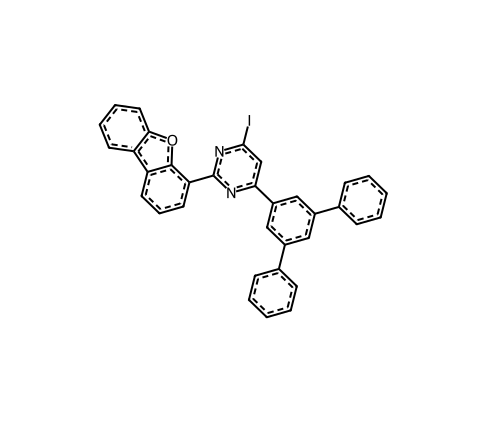 Ic1cc(-c2cc(-c3ccccc3)cc(-c3ccccc3)c2)nc(-c2cccc3c2oc2ccccc23)n1